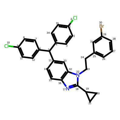 Clc1ccc(C(c2ccc(Cl)cc2)c2ccc3nc(C4CC4)n(CCc4cccc(Br)c4)c3c2)cc1